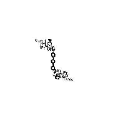 COC(=O)N[C@H](C(=O)N1CC2(CC2)C[C@H]1c1ncc(-c2ccc(-c3ccc(-c4ccc5nc([C@@H]6[C@H]7CC[C@H](C7)N6C(=O)[C@@H](NC(=O)OC)C(C)C)[nH]c5c4)cc3)cc2)[nH]1)C(C)C